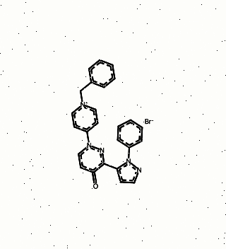 O=c1ccn(-c2cc[n+](Cc3ccccc3)cc2)nc1-c1ccnn1-c1ccccc1.[Br-]